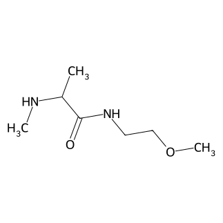 CNC(C)C(=O)NCCOC